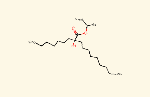 CCCCCCCCCCCCCCCCCCC(O)(CCCCCCCCCCCCCCCC)C(=O)OC(CC)CCCCC